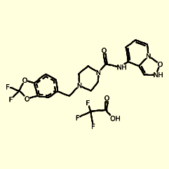 O=C(NC1=CC=CN2ONC=C12)N1CCN(Cc2ccc3c(c2)OC(F)(F)O3)CC1.O=C(O)C(F)(F)F